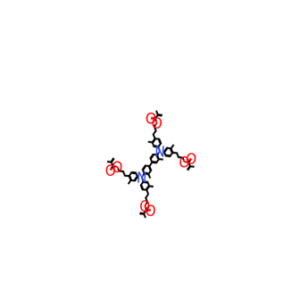 C=C(C)C(=O)OCCCc1ccc(N(c2ccc(CCCOC(=O)C(=C)C)c(C)c2)c2ccc(-c3ccc(N(c4ccc(CCCOC(=O)C(=C)C)c(C)c4)c4ccc(CCCOC(=O)C(=C)C)c(C)c4)c(C)c3)cc2C)cc1C